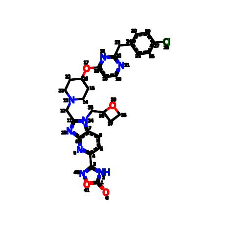 O=c1[nH]c(-c2ccc3c(n2)nc(CN2CCC(Oc4ccnc(Cc5ccc(Cl)cc5)n4)CC2)n3CC2CCO2)no1